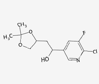 CC1(C)OCC(CC(O)c2cnc(Cl)c(F)c2)O1